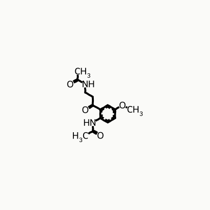 COc1ccc(NC(C)=O)c(C(=O)CCNC(C)=O)c1